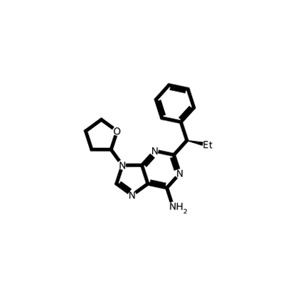 CC[C@H](c1ccccc1)c1nc(N)c2ncn(C3CCCO3)c2n1